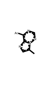 CC(=O)c1ncnn2c(C)cnc12